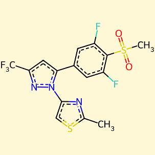 Cc1nc(-n2nc(C(F)(F)F)cc2-c2cc(F)c(S(C)(=O)=O)c(F)c2)cs1